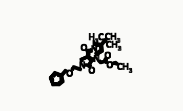 CCOC(=O)Cn1c2c(c(=O)n3nc(C(C)(C)C)cc13)CN(CCOCc1ccccc1)C2=O